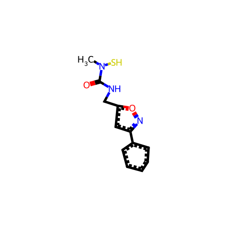 CN(S)C(=O)NCc1cc(-c2ccccc2)no1